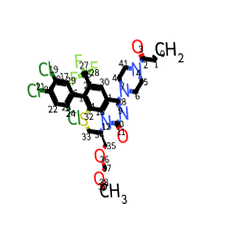 C=CC(=O)N1CCN(c2nc(=O)n3c4c(c(-c5cc(Cl)c(Cl)cc5Cl)c(C(F)(F)F)cc24)SC[C@@H]3COCOC)CC1